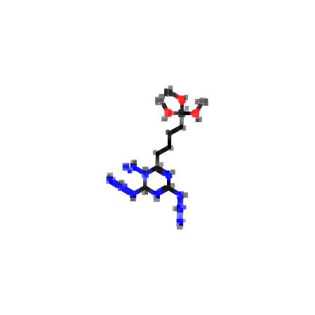 CCO[Si](CCCCC1=NC(N=[N+]=[N-])=NC(N=[N+]=[N-])N1N)(OCC)OCC